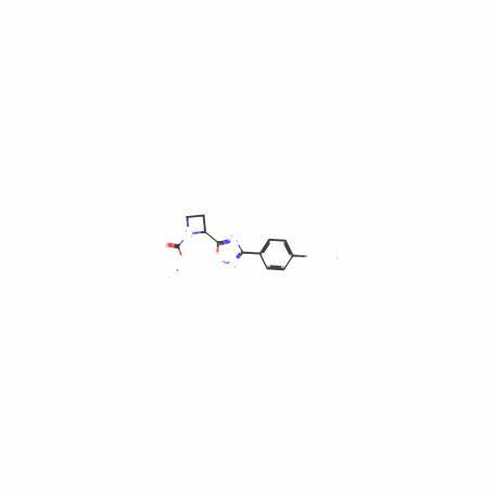 CCCCCCc1ccc(-c2noc(C3CCN3C(=O)OC(C)(C)C)n2)cc1